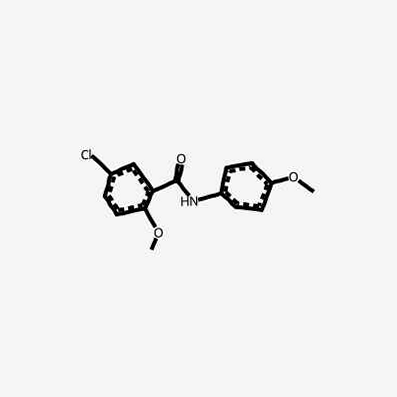 COc1ccc(NC(=O)c2cc(Cl)ccc2OC)cc1